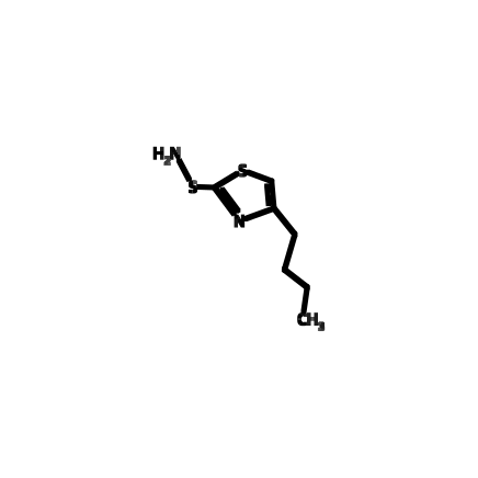 CCCCc1csc(SN)n1